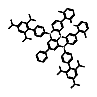 Cc1cccc(C)c1-c1ccc2c(c1)B1c3cc(-c4c(C)cccc4C)ccc3N(c3ccc(-c4c(C(C)C)cc(C(C)C)cc4C(C)C)cc3)c3cc(-c4ccccc4)cc(c31)N2c1ccc(-c2c(C(C)C)cc(C(C)C)cc2C(C)C)cc1